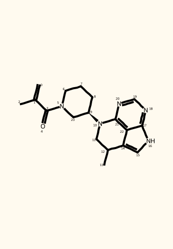 C=C(C)C(=O)N1CCC[C@@H](N2CC(C)c3c[nH]c4ncnc2c34)C1